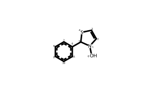 ON1C=CSC1c1ccccc1